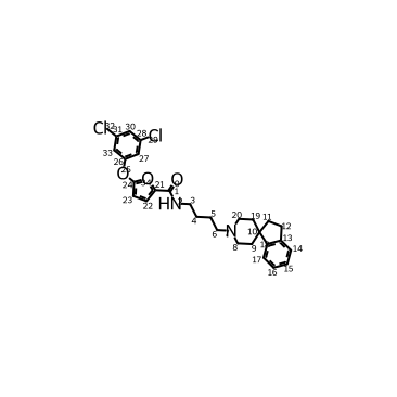 O=C(NCCCCN1CCC2(CCc3ccccc32)CC1)c1ccc(Oc2cc(Cl)cc(Cl)c2)o1